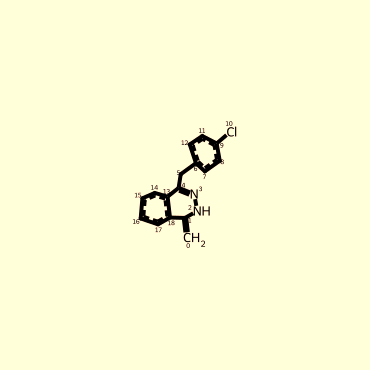 C=C1NN=C(Cc2ccc(Cl)cc2)c2ccccc21